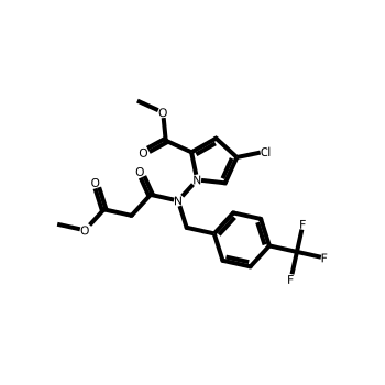 COC(=O)CC(=O)N(Cc1ccc(C(F)(F)F)cc1)n1cc(Cl)cc1C(=O)OC